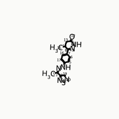 CC(=NNc1ccc(C2=NNC(=O)CC2C)cc1)c1cnsn1